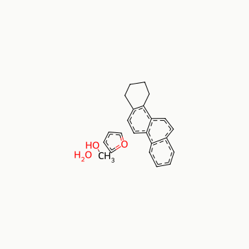 CO.O.c1ccc2c(c1)ccc1c3c(ccc12)CCCC3.c1ccoc1